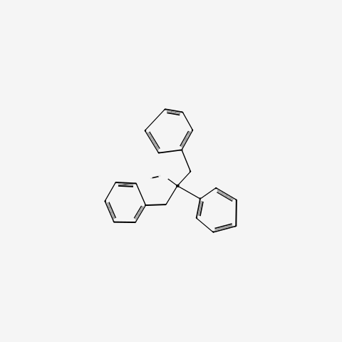 [O]OC([CH]c1ccccc1)(Cc1ccccc1)c1ccccc1